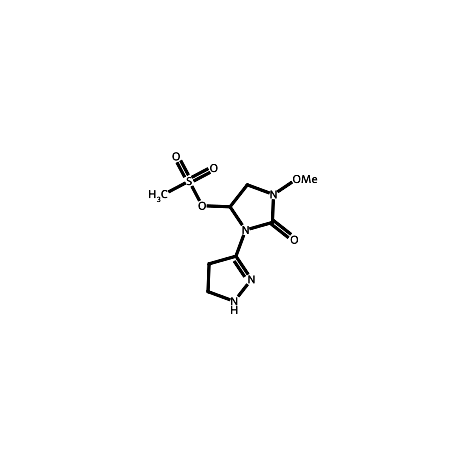 CON1CC(OS(C)(=O)=O)N(C2=NNCC2)C1=O